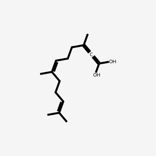 CC(=C=C(O)O)CCC=C(C)CCC=C(C)C